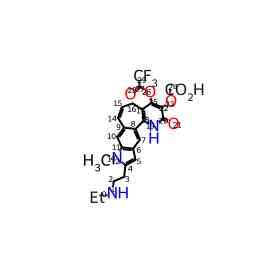 CCNCCc1cc2cc3c(cc2n1C)C=CCc1c-3[nH]c(=O)c(OC(=O)O)c1OC(=O)C(F)(F)F